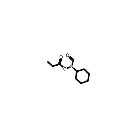 CCC(=O)ON(C=O)C1CCCCC1